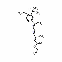 CCOC(=O)/C=C(C)/C=C/C=C(\C)c1ccc(OC)c(C(C)(C)C)c1